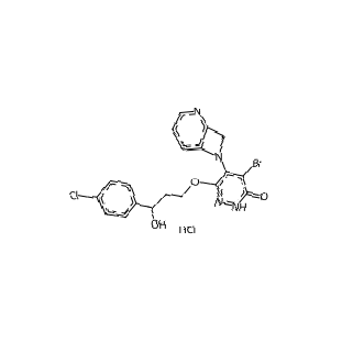 Cl.O=c1[nH]nc(OCCC(O)c2ccc(Cl)cc2)c(N2Cc3ncccc32)c1Br